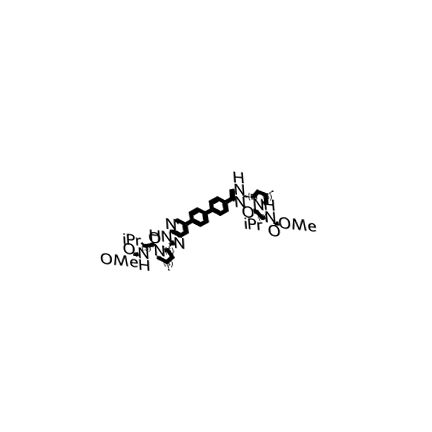 COC(=O)N[C@H](C(=O)N1C[C@@H](C)C[C@H]1c1nc(-c2ccc(-c3ccc(-c4cnc5[nH]c([C@@H]6C[C@H](C)CN6C(=O)[C@@H](NC(=O)OC)C(C)C)nc5c4)cc3)cc2)c[nH]1)C(C)C